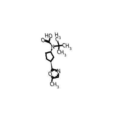 Cc1cnc([C@H]2CC[C@@H](N(C(=O)O)C(C)(C)C)C2)o1